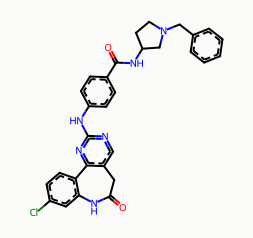 O=C1Cc2cnc(Nc3ccc(C(=O)NC4CCN(Cc5ccccc5)C4)cc3)nc2-c2ccc(Cl)cc2N1